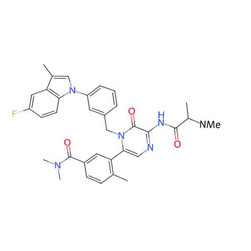 CNC(C)C(=O)Nc1ncc(-c2cc(C(=O)N(C)C)ccc2C)n(Cc2cccc(-n3cc(C)c4cc(F)ccc43)c2)c1=O